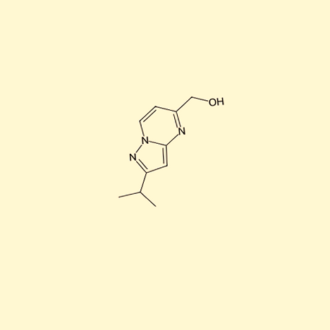 CC(C)c1cc2nc(CO)ccn2n1